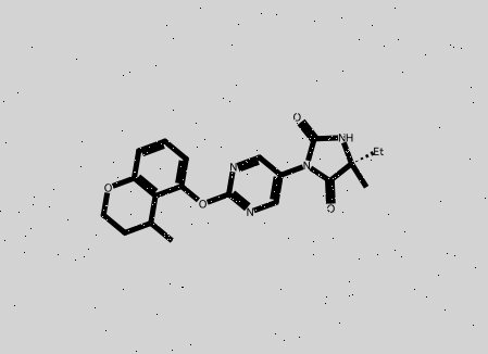 CC[C@@]1(C)NC(=O)N(c2cnc(Oc3cccc4c3C(C)CCO4)nc2)C1=O